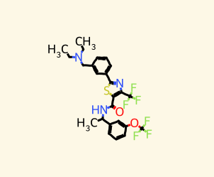 CCN(CC)Cc1cccc(-c2nc(C(F)(F)F)c(C(=O)NC(C)c3cccc(OC(F)(F)F)c3)s2)c1